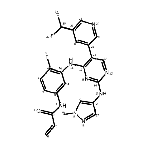 C=CC(=O)Nc1ccc(F)c(Nc2nc(Nc3cnn(C)c3)ncc2-c2cncc(C(F)F)c2)c1